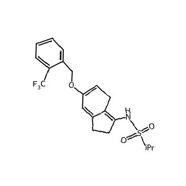 CC(C)S(=O)(=O)NC1=C2CC=C(OCc3ccccc3C(F)(F)F)C=C2CC1